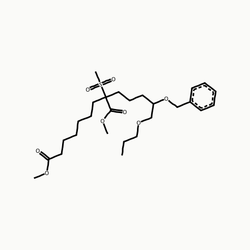 CCCOCC(CCCC(CCCCCCC(=O)OC)(C(=O)OC)S(C)(=O)=O)OCc1ccccc1